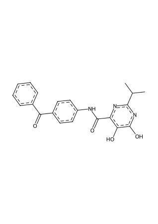 CC(C)c1nc(O)c(O)c(C(=O)Nc2ccc(C(=O)c3ccccc3)cc2)n1